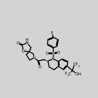 O=C1NCC2(CCN(C(=O)C[C@@H]3CCc4cc(C(O)(C(F)(F)F)C(F)(F)F)ccc4N3S(=O)(=O)c3ccc(F)cc3)C2)O1